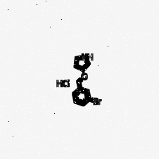 Brc1cccc(CO[C@@H]2CCNC2)c1.Cl